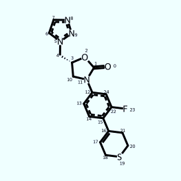 O=C1O[C@@H](Cn2ccnn2)CN1c1ccc(C2=CCSCC2)c(F)c1